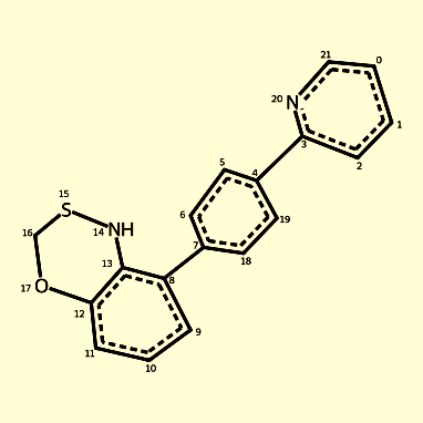 c1ccc(-c2ccc(-c3cccc4c3NSCO4)cc2)nc1